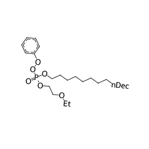 CCCCCCCCCCCCCCCCCCOP(=O)(OCCOCC)OOc1ccccc1